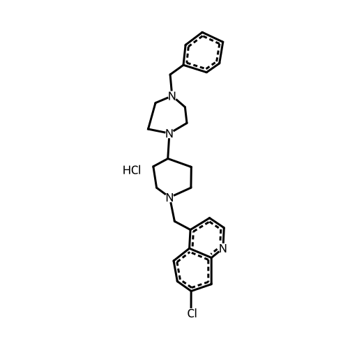 Cl.Clc1ccc2c(CN3CCC(N4CCN(Cc5ccccc5)CC4)CC3)ccnc2c1